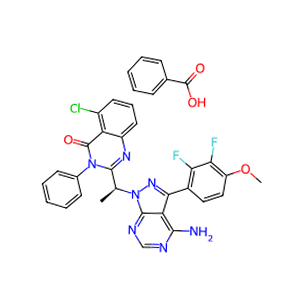 COc1ccc(-c2nn([C@@H](C)c3nc4cccc(Cl)c4c(=O)n3-c3ccccc3)c3ncnc(N)c23)c(F)c1F.O=C(O)c1ccccc1